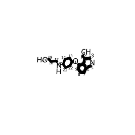 CCc1cncc2cccc(O[C@H]3CC[C@@H](NCCCO)CC3)c12